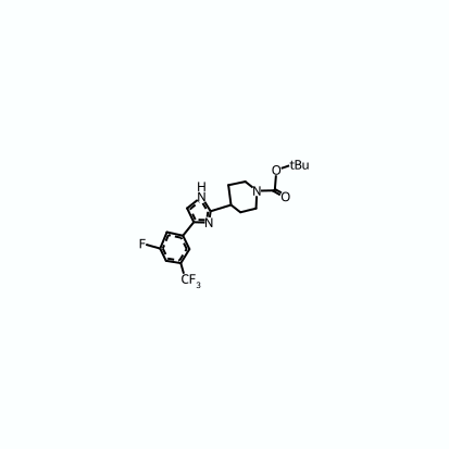 CC(C)(C)OC(=O)N1CCC(c2nc(-c3cc(F)cc(C(F)(F)F)c3)c[nH]2)CC1